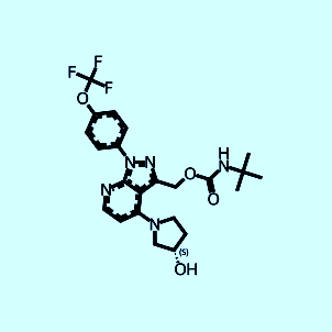 CC(C)(C)NC(=O)OCc1nn(-c2ccc(OC(F)(F)F)cc2)c2nccc(N3CC[C@H](O)C3)c12